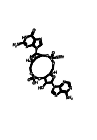 CNP1(=O)OC[C@H]2O[C@@H](n3cnc4c(N)ncnc43)C(O)C2OP(=O)(O)OC[C@H]2O[C@@H](n3cnc4c(=O)[nH]c(N)nc43)C(O1)C2O